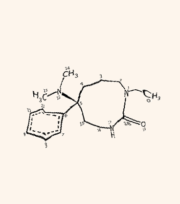 CN1CCC[C@](c2ccccc2)(N(C)C)CCNC1=O